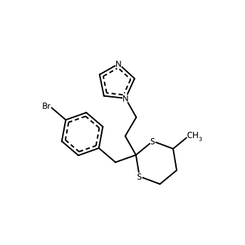 CC1CCSC(CCn2ccnc2)(Cc2ccc(Br)cc2)S1